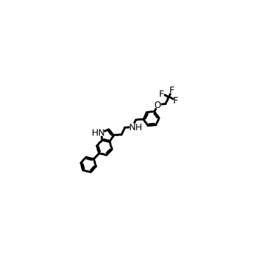 FC(F)(F)COc1cccc(CNCCc2c[nH]c3cc(-c4ccccc4)ccc23)c1